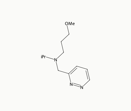 COCCCN(Cc1cccnn1)C(C)C